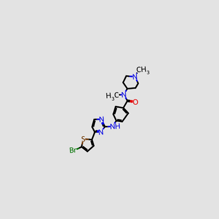 CN1CCC(N(C)C(=O)c2ccc(Nc3nccc(-c4ccc(Br)s4)n3)cc2)CC1